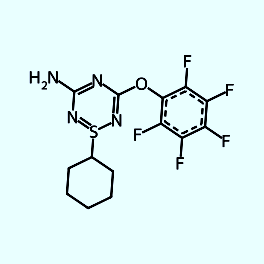 NC1=NC(Oc2c(F)c(F)c(F)c(F)c2F)=NS(C2CCCCC2)=N1